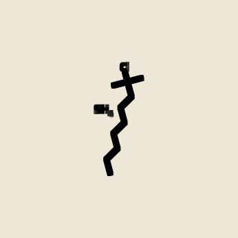 CCCCCCCC(C)(C)Cl.[SiH4]